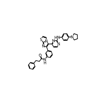 O=C(CCc1ccccc1)Nc1cccc(-c2nc3sccn3c2-c2ccnc(Nc3ccc(N4CCCC4)cc3)n2)c1